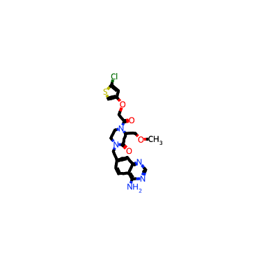 COCC1C(=O)N(Cc2ccc3c(N)ncnc3c2)CCN1C(=O)COc1csc(Cl)c1